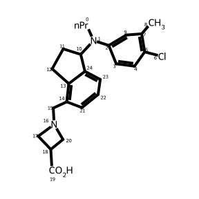 CCCN(c1ccc(Cl)c(C)c1)C1CCc2c(CN3CC(C(=O)O)C3)cccc21